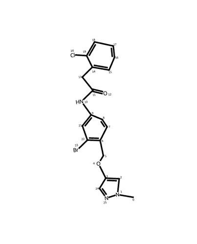 Cn1cc(OCc2ccc(NC(=O)Cc3ccccc3Cl)cc2Br)cn1